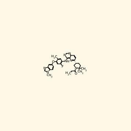 C=CC(=O)N1C[C@H](c2ccc3ncnc(Nc4cc(C)c(Oc5ccc6c(c5)ncn6C)cc4F)c3n2)CCC1(C)C